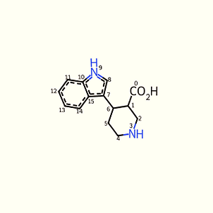 O=C(O)C1CNCCC1c1c[nH]c2ccccc12